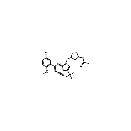 COc1ccc(Cl)cc1C(=NC#N)/N=c1\sc(C(C)(C)C)cn1CC1CCC(OC(C)=O)C1